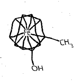 C[C]12[CH]3[CH]4[CH]5[C]1(O)[Fe]43521678[CH]2[CH]1[CH]6[CH]7[CH]28